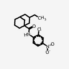 CCC1CC2CCCC(C(=O)Nc3ccc([N+](=O)[O-])cc3Cl)(C1)C2